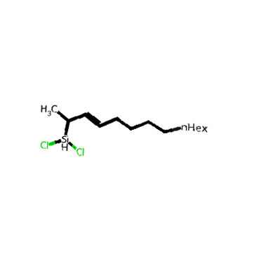 CCCCCCCCCCC=CC(C)[SiH](Cl)Cl